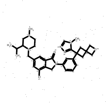 CC(C)C1CN(C)CCN1Cc1cc(Cl)c2c(c1)C(=O)N(c1cccc(C3(c4nncn4C)CC4(COC4)C3)c1)C2